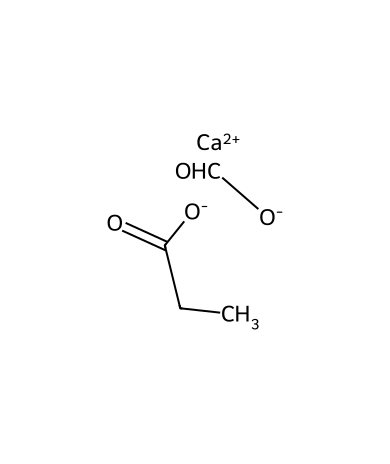 CCC(=O)[O-].O=C[O-].[Ca+2]